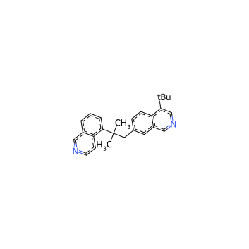 CC(C)(C)c1cncc2cc(CC(C)(C)c3cccc4cnccc34)ccc12